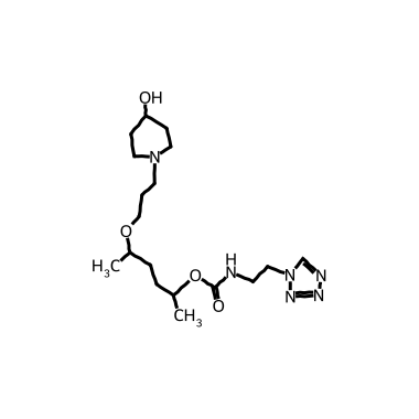 CC(CCC(C)OC(=O)NCCn1cnnn1)OCCCN1CCC(O)CC1